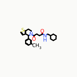 Cc1cccc(C2c3ccsc3CCN2C(=O)CCC(=O)NCC2CCCCC2)c1